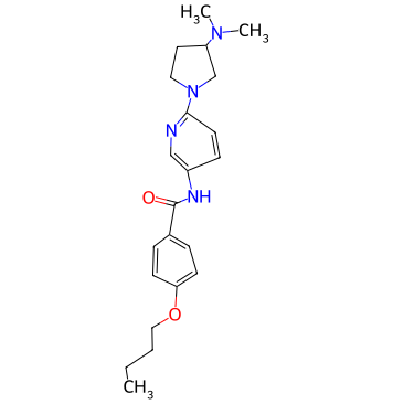 CCCCOc1ccc(C(=O)Nc2ccc(N3CCC(N(C)C)C3)nc2)cc1